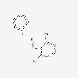 N#Cc1cccc(C#N)c1/C=C/Cc1ccccc1